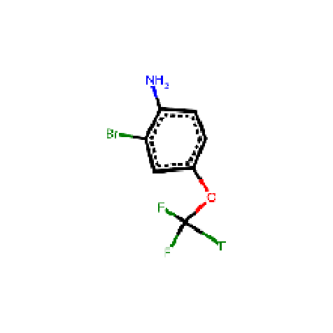 Nc1ccc(OC(F)(F)F)cc1Br